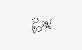 CCCCS(=O)(=O)NC(=O)c1ccc2nc(C)n(Cc3ccccn3)c2c1